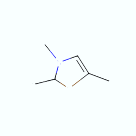 CC1=CN(C)C(C(C)C)S1